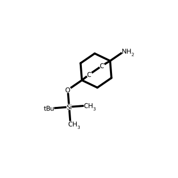 CC(C)(C)[Si](C)(C)OC12CCC(N)(CC1)CC2